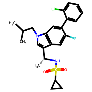 CC(C)Cn1cc([C@@H](C)NS(=O)(=O)C2CC2)c2cc(F)c(-c3ccccc3Cl)cc21